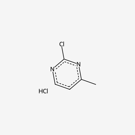 Cc1ccnc(Cl)n1.Cl